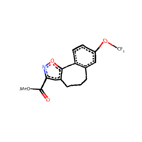 COC(=O)c1noc2c1CCCc1cc(OC(F)(F)F)ccc1-2